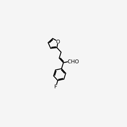 O=CC(=CCc1ccco1)c1ccc(F)cc1